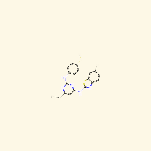 CCSc1ccc(Nc2nc(CC(C)C)cc(Nc3nc4ccc(CC)cc4s3)n2)cc1